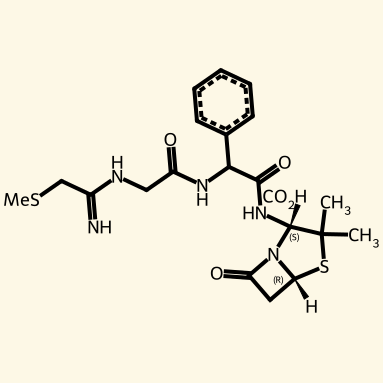 CSCC(=N)NCC(=O)NC(C(=O)N[C@@]1(C(=O)O)N2C(=O)C[C@H]2SC1(C)C)c1ccccc1